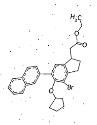 CCOC(=O)CC1CCc2c1cc(-c1ccc3ccccc3c1)c(OC1CCCC1)c2Br